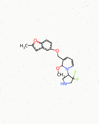 COC1C(COc2ccc3oc(C)cc3c2)=CC=CN1C1CNCC1(F)F